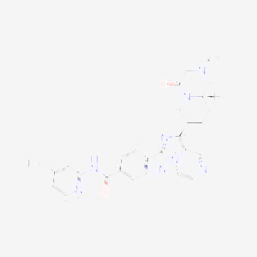 CC(C)N1CC(=O)N2C[C@H](C3=C4C=NC=C[N+]4(N)C(c4ccc(C(=O)Nc5cc(C(F)(F)F)ccn5)cc4)=N3)CC[C@H]2C1